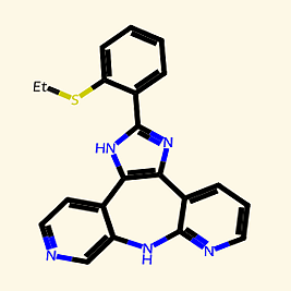 CCSc1ccccc1-c1nc2c([nH]1)-c1ccncc1Nc1ncccc1-2